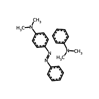 CN(C)c1ccc(/N=N/c2ccccc2)cc1.CN(C)c1ccccc1